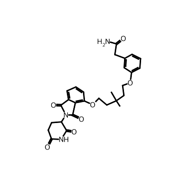 CC(C)(CCOc1cccc(CC(N)=O)c1)CCOc1cccc2c1C(=O)N(C1CCC(=O)NC1=O)C2=O